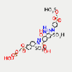 Nc1c(/N=N/c2ccc(S(=O)(=O)CCOS(=O)(=O)O)cc2)c(S(=O)(=O)O)cc2cc(SOOO)c(/N=N/c3ccc4cc(S(=O)(=O)CCOSOOO)ccc4c3S(=O)(=O)O)c(O)c12